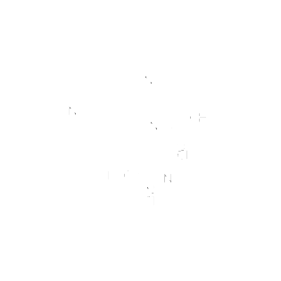 Cc1nn(C)c(C)c1CN1C(=O)C(C)Cc2ncc(-c3cccnc3)cc21